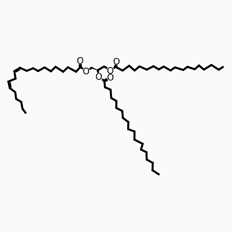 CCCCC/C=C\C/C=C\CCCCCCCCCC(=O)OC[C@@H](COC(=O)CCCCCCCCCCCCCCCCCC)OC(=O)CCCCCCCCCCCCCCCCCC